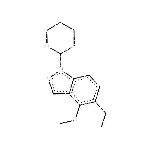 CCc1ccc2c(cnn2C2CCCCO2)c1OC